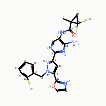 CC1(C(=O)Nc2cnc(-c3cc(-c4ncco4)n(Cc4ccccc4F)n3)nc2N)CC1(F)F